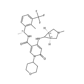 Cc1c([C@@H](C)NC(=O)c2cn(C3CCOCC3)c(=O)cc2NC2[C@H]3CN(C)C[C@@H]23)cccc1C(F)(F)F